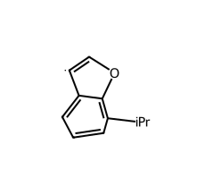 CC(C)c1cccc2[c]coc12